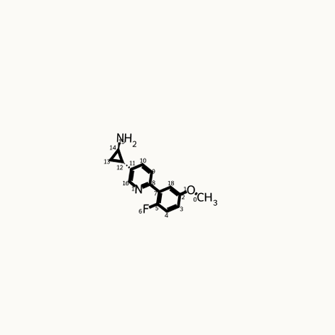 COc1ccc(F)c(-c2ccc([C@@H]3C[C@H]3N)cn2)c1